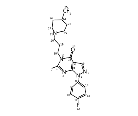 Cc1nc2c(cnn2-c2ccc(F)cc2)c(=O)n1CCCN1CCC(C(F)(F)F)CC1